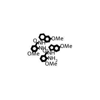 COc1ccc2c(c1)CCC2NC(=O)c1cccc(OC)c1N.COc1ccc2c(c1)CCCC2NC(=O)c1cccc(OC)c1N